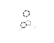 OC1C[C@H](c2ccccc2)c2ccc(Cl)cc21